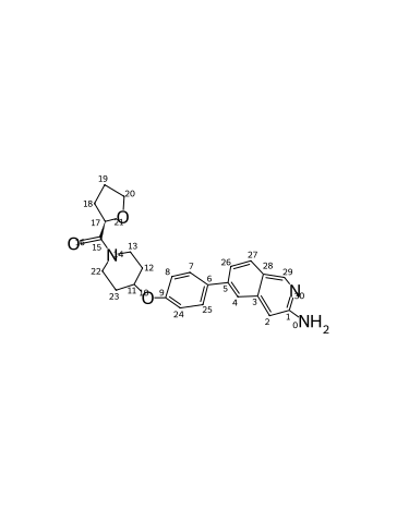 Nc1cc2cc(-c3ccc(OC4CCN(C(=O)[C@H]5CCCO5)CC4)cc3)ccc2cn1